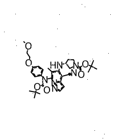 COCCOc1ccc(N(C(=O)OC(C)(C)C)c2c(C)c(N[C@H]3CCN(C(=O)OC(C)(C)C)C3)c(C#N)c3ccnn23)cc1